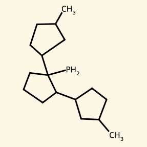 CC1CCC(C2CCCC2(P)C2CCC(C)C2)C1